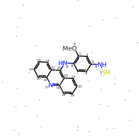 COc1cc(NS)ccc1Nc1c2ccccc2nc2ccccc12